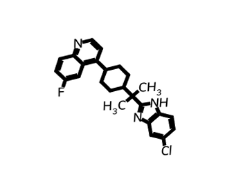 CC(C)(c1nc2cc(Cl)ccc2[nH]1)C1CCC(c2ccnc3ccc(F)cc23)CC1